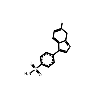 NS(=O)(=O)c1ccc(C2=CN=C3CC(F)=CC=C23)cc1